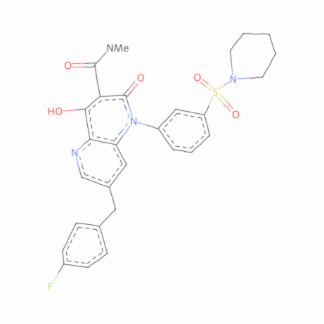 CNC(=O)c1c(O)c2ncc(Cc3ccc(F)cc3)cc2n(-c2cccc(S(=O)(=O)N3CCCCC3)c2)c1=O